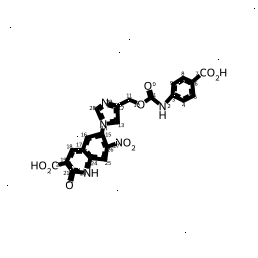 O=C(Nc1ccc(C(=O)O)cc1)OCc1cn(-c2cc3cc(C(=O)O)c(=O)[nH]c3cc2[N+](=O)[O-])cn1